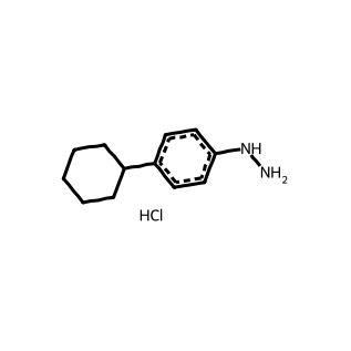 Cl.NNc1ccc(C2CCCCC2)cc1